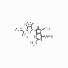 CCCCn1c(=O)n([C@@H]2O[C@H](C(OC(C)=O)C(F)(F)F)[C@H](F)[C@H]2OC(C)=O)c2nc(N)nc(OC)c21